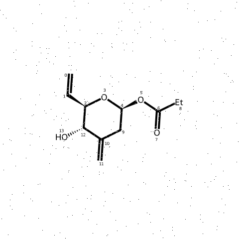 C=C[C@H]1O[C@@H](OC(=O)CC)CC(=C)[C@@H]1O